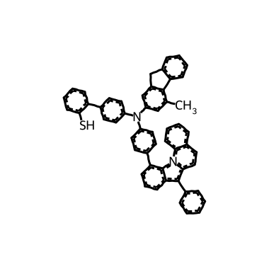 Cc1cc(N(c2ccc(-c3ccccc3S)cc2)c2ccc(-c3cccc4c(-c5ccccc5)c5ccc6ccccc6n5c34)cc2)cc2c1-c1ccccc1C2